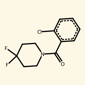 O=C(c1ccccc1Cl)N1CCC(F)(F)CC1